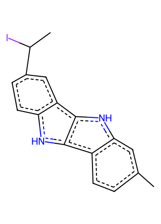 Cc1ccc2c(c1)[nH]c1c3cc(C(C)I)ccc3[nH]c21